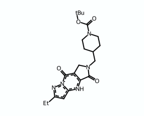 CCc1cc2[nH]c3c(c(=O)n2n1)CN(CC1CCN(C(=O)OC(C)(C)C)CC1)C3=O